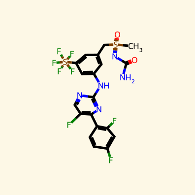 CS(=O)(Cc1cc(Nc2ncc(F)c(-c3ccc(F)cc3F)n2)cc(S(F)(F)(F)(F)F)c1)=NC(N)=O